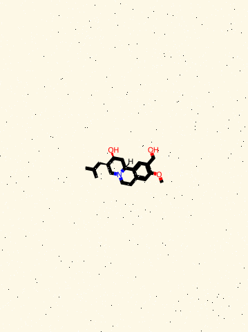 COc1cc2c(cc1CO)[C@@H]1C[C@H](O)[C@H](CC(C)C)CN1CC2